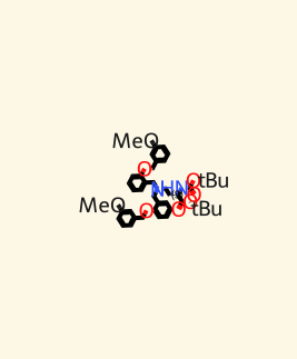 COc1cccc(COc2ccccc2CN(CC[C@H](NC(=O)OC(C)(C)C)C(=O)OC(C)(C)C)Cc2ccccc2OCc2cccc(OC)c2)c1